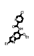 CCOc1cc2nc(CC)cn2cc1NC(=O)c1ccc(Cl)cn1